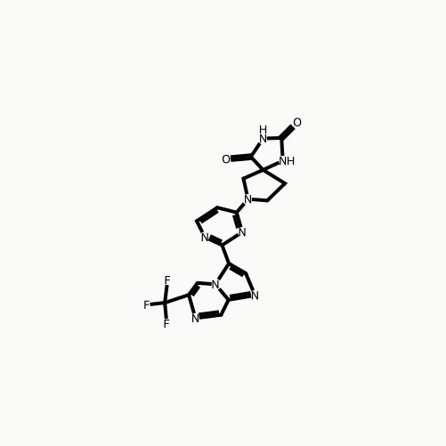 O=C1NC(=O)C2(CCN(c3ccnc(-c4cnc5cnc(C(F)(F)F)cn45)n3)C2)N1